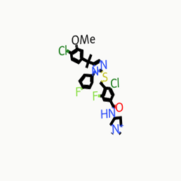 COc1cc(C(C)(C)c2cnc(SCc3c(F)cc(C(=O)N[C@@H]4CC[N+](C)(C)C4)cc3Cl)n2-c2ccc(F)cc2)ccc1Cl